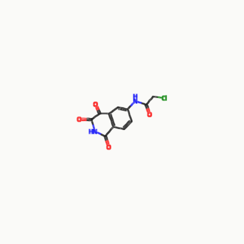 O=C(CCl)Nc1ccc2c(c1)C(=O)C(=O)NC2=O